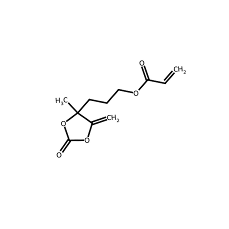 C=CC(=O)OCCCC1(C)OC(=O)OC1=C